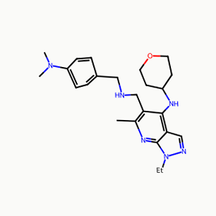 CCn1ncc2c(NC3CCOCC3)c(CNCc3ccc(N(C)C)cc3)c(C)nc21